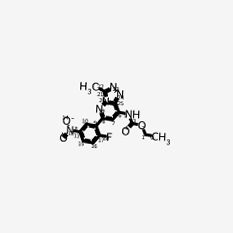 CCOC(=O)Nc1cc(-c2cc([N+](=O)[O-])ccc2F)nn2c(C)nnc12